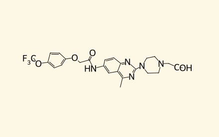 Cc1nc(N2CCN(CCO)CC2)nc2ccc(NC(=O)COc3ccc(OC(F)(F)F)cc3)cc12